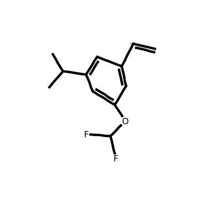 C=[C]c1cc(OC(F)F)cc(C(C)C)c1